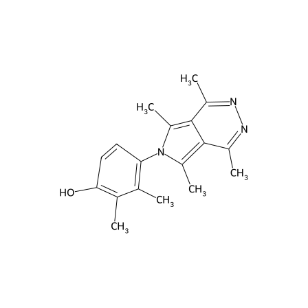 Cc1c(O)ccc(-n2c(C)c3c(C)nnc(C)c3c2C)c1C